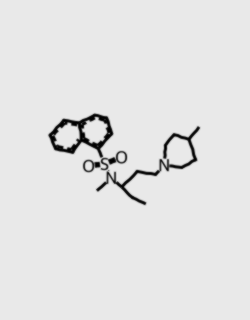 CCC(CCN1CCC(C)CC1)N(C)S(=O)(=O)c1cccc2ccccc12